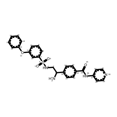 NC(CNS(=O)(=O)c1cccc(Oc2ccccc2)c1)c1ccc(C(=O)Nc2ccncc2)cc1